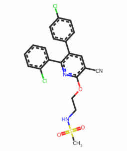 CS(=O)(=O)NCCOc1nc(-c2ccccc2Cl)c(-c2ccc(Cl)cc2)cc1C#N